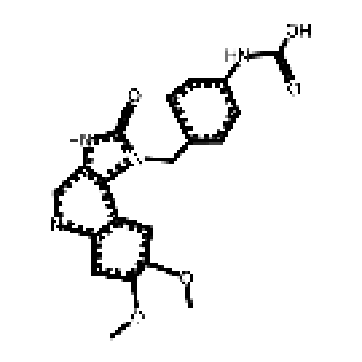 COc1cc2ncc3[nH]c(=O)n(Cc4ccc(NC(=O)O)cc4)c3c2cc1OC